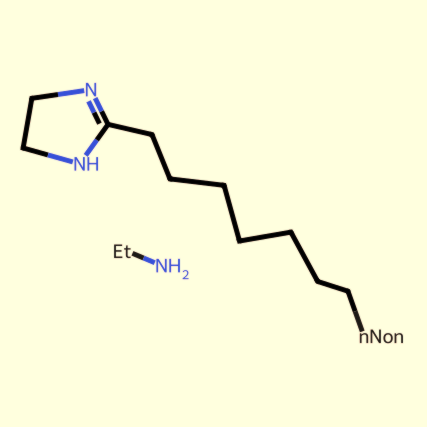 CCCCCCCCCCCCCCCCC1=NCCN1.CCN